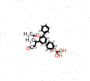 CCOc1c(-c2ccccc2)cccc1C(C)C=C=O.O=C(O)O.c1ccccc1